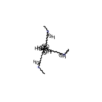 CCCCC/C=C\CC(O)CCCCCCCCC(=O)C(O)(CO)C(O)(C(=O)CCCCCCCCC(O)C/C=C\CCCCC)C(=O)CCCCCCCCC(O)C/C=C\CCCCC